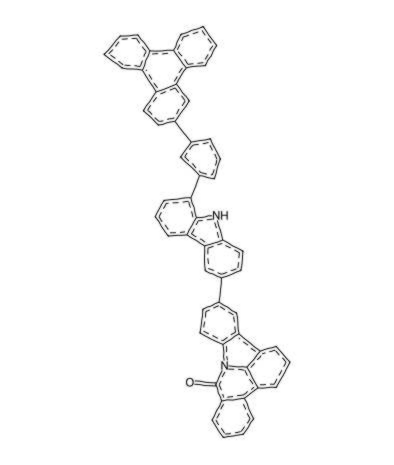 O=c1c2ccccc2c2cccc3c4cc(-c5ccc6[nH]c7c(-c8cccc(-c9ccc%10c%11ccccc%11c%11ccccc%11c%10c9)c8)cccc7c6c5)ccc4n1c23